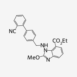 CCOC(=O)c1cccc2nc(OC)n(NCc3ccc(-c4ccccc4C#N)cc3)c12